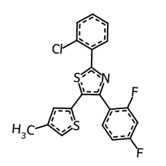 Cc1csc(-c2sc(-c3ccccc3Cl)nc2-c2ccc(F)cc2F)c1